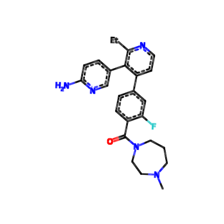 CCc1nccc(-c2ccc(C(=O)N3CCCN(C)CC3)c(F)c2)c1-c1ccc(N)nc1